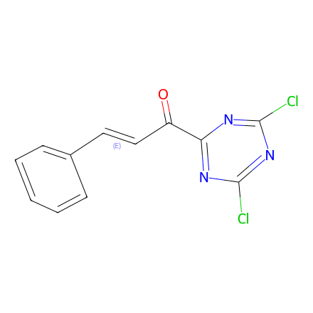 O=C(/C=C/c1ccccc1)c1nc(Cl)nc(Cl)n1